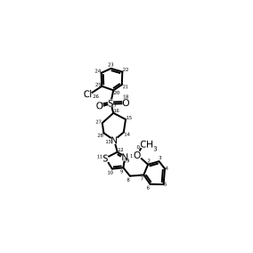 COc1ccccc1Cc1csc(N2CCC(S(=O)(=O)c3ccccc3Cl)CC2)n1